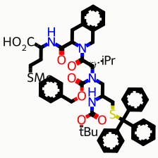 CSCCC(NC(=O)C1Cc2ccccc2CN1C(=O)[C@H](C(C)C)N(CC(CSC(c1ccccc1)(c1ccccc1)c1ccccc1)NC(=O)OC(C)(C)C)C(=O)OCc1ccccc1)C(=O)O